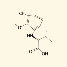 COc1c(Cl)cccc1N[C@H](C(=O)O)C(C)C